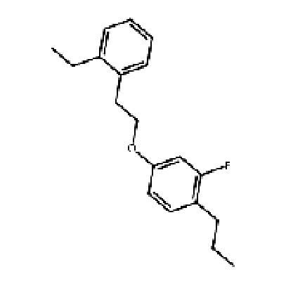 CCCc1ccc(OCCc2ccccc2CC)cc1F